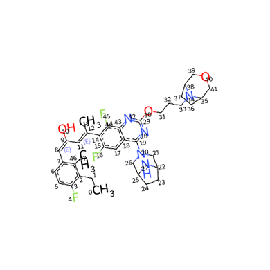 CCc1c(F)ccc(/C=C(O)\C=C(/C)c2c(F)cc3c(N4CC5CCC(C4)N5)nc(OCCCN4C5CCC4COC5)nc3c2F)c1C